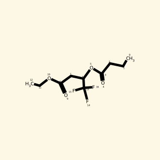 CCCC(=O)OC(CC(=O)OCC)C(F)(F)F